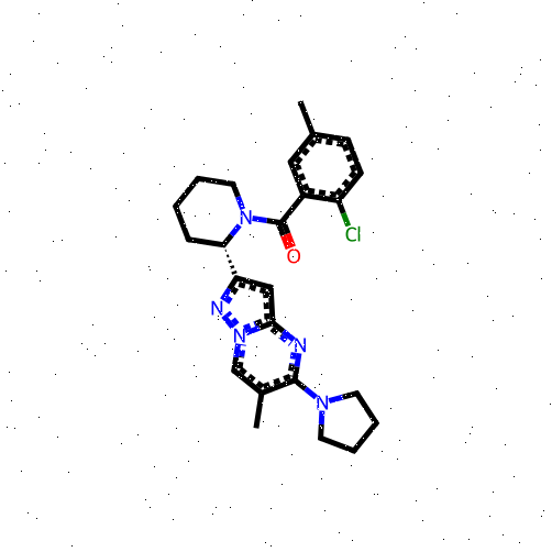 Cc1ccc(Cl)c(C(=O)N2CCCC[C@H]2c2cc3nc(N4CCCC4)c(C)cn3n2)c1